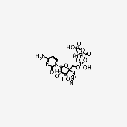 [N-]=[N+]=NC1(COP(=O)(O)OP(=O)(O)OP(=O)(O)O)O[C@@H](n2ccc(N)nc2=O)[C@@H](O)[C@@H]1O